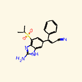 CC(C)S(=O)(=O)c1cc(C(=CC#N)c2ccccc2)cc2[nH]c(N)nc12